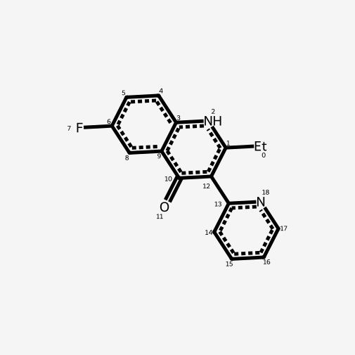 CCc1[nH]c2ccc(F)cc2c(=O)c1-c1ccccn1